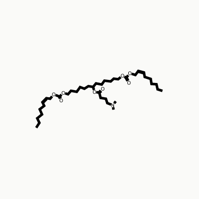 CCCCCC/C=C\COC(=O)OCCCCCCC(CCCCCCOC(=O)OC/C=C\CCCCCC)OC(=O)CCCN(C)C